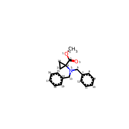 COC(=O)C1(N(Cc2ccccc2)Cc2ccccc2)CC1